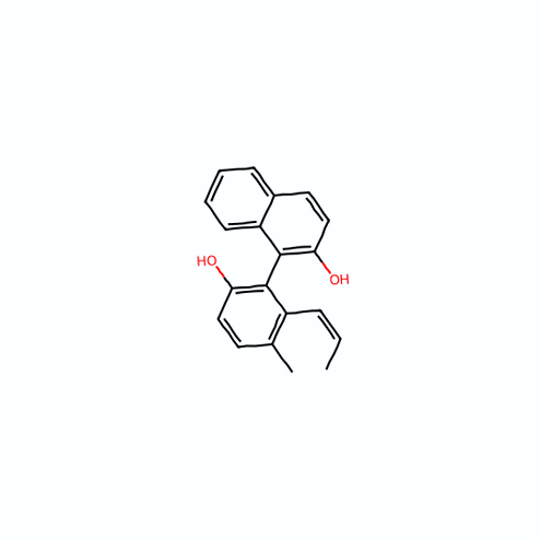 C/C=C\c1c(C)ccc(O)c1-c1c(O)ccc2ccccc12